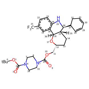 CC(C)(C)OC(=O)N1CCN(C(=O)OC[C@H]2CC[C@@H]3[C@H](O2)c2cc(C(F)(F)F)ccc2N[C@H]3C2C=CC=CC2)CC1